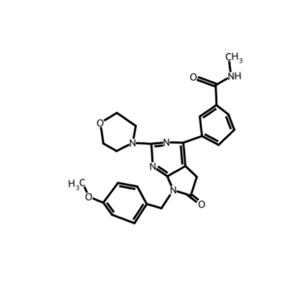 CNC(=O)c1cccc(-c2nc(N3CCOCC3)nc3c2CC(=O)N3Cc2ccc(OC)cc2)c1